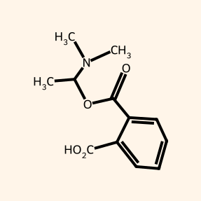 CC(OC(=O)c1ccccc1C(=O)O)N(C)C